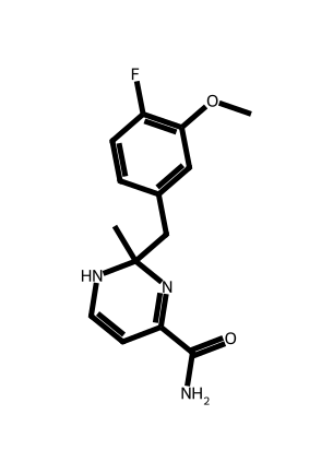 COc1cc(CC2(C)N=C(C(N)=O)C=CN2)ccc1F